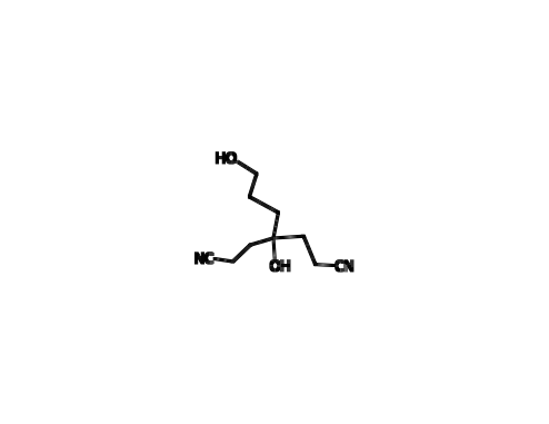 N#CCCC(O)(CCC#N)CCCO